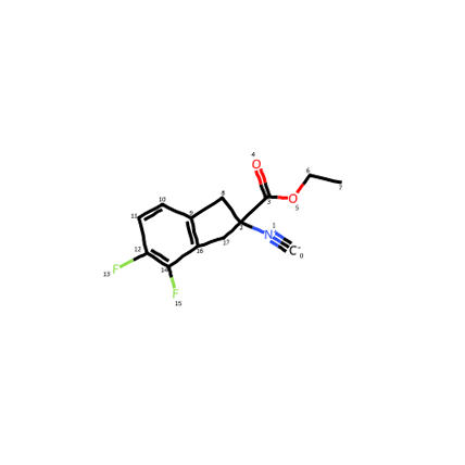 [C-]#[N+]C1(C(=O)OCC)Cc2ccc(F)c(F)c2C1